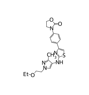 CCOCCn1cc(Nc2nc(-c3ccc(N4CCOC4=O)cc3)cs2)c(C)n1